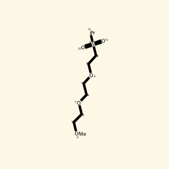 COCCOCCOCCS(=O)(=O)C(C)C